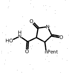 CCCCCC1C(=O)[N]C(=O)C1C(=O)NO